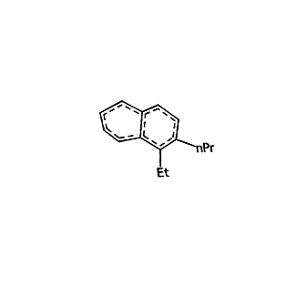 CCCc1ccc2ccccc2c1CC